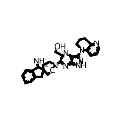 NC1c2ccccc2CC12CCN(c1nc3[nH]nc(N4CCCc5ncccc54)c3nc1CO)CC2